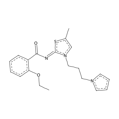 CCOc1ccccc1C(=O)N=c1sc(C)cn1CCCn1cccc1